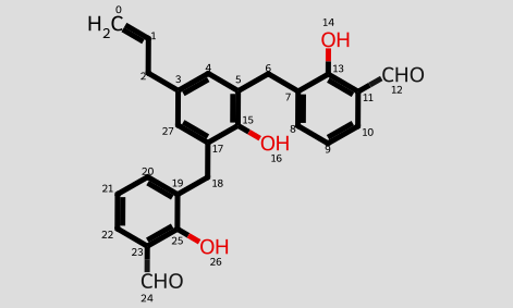 C=CCc1cc(Cc2cccc(C=O)c2O)c(O)c(Cc2cccc(C=O)c2O)c1